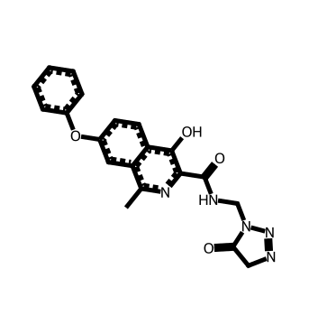 Cc1nc(C(=O)NCN2N=NCC2=O)c(O)c2ccc(Oc3ccccc3)cc12